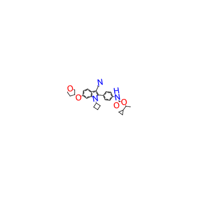 CC(OC(=O)Nc1ccc(-c2c(C#N)c3ccc(OC4CCOC4)cc3n2C2CCC2)cc1)C1CC1